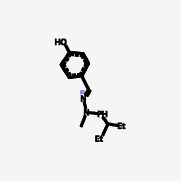 CCC(CC)PN(C)/N=C/c1ccc(O)cc1